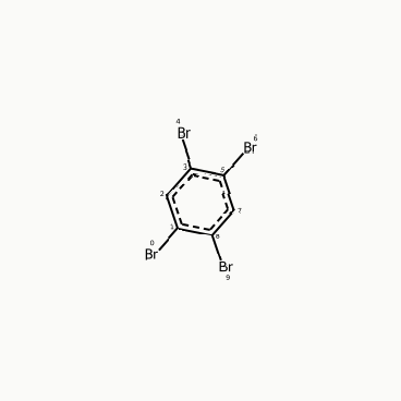 Brc1[c]c(Br)c(Br)cc1Br